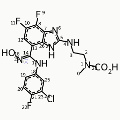 CN(CCNc1nc2c(F)c(F)cc(/C(=N\O)Nc3ccc(F)c(Cl)c3)c2[nH]1)C(=O)O